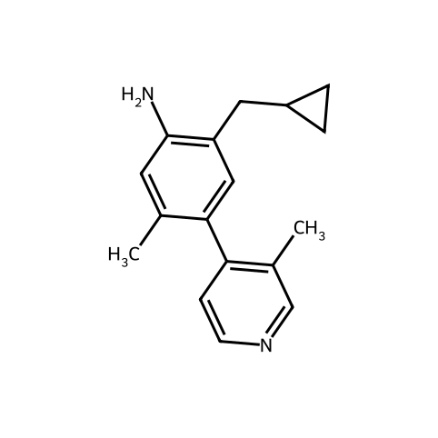 Cc1cnccc1-c1cc(CC2CC2)c(N)cc1C